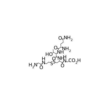 CC(O)C(NC(=O)C(N)CCC(N)=O)C(=O)NC(CSSCCNC(=O)CN)C(=O)NCC(=O)O